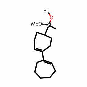 CCO[Si](C)(OC)C1CCC=C(C2=CCCCCC2)CC1